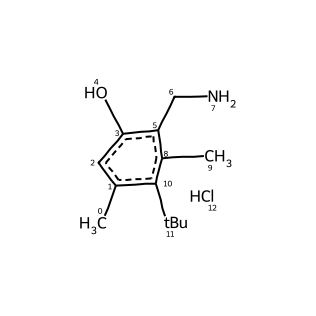 Cc1cc(O)c(CN)c(C)c1C(C)(C)C.Cl